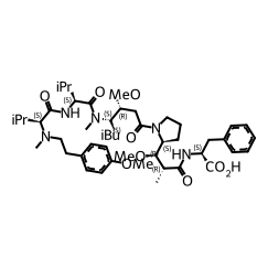 CC[C@H](C)[C@@H]([C@@H](CC(=O)N1CCC[C@H]1[C@H](OC)[C@@H](C)C(=O)N[C@@H](Cc1ccccc1)C(=O)O)OC)N(C)C(=O)[C@@H](NC(=O)[C@H](C(C)C)N(C)CCc1ccc(OC)cc1)C(C)C